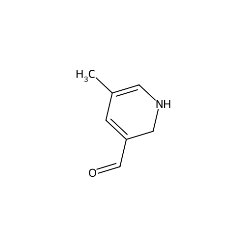 CC1=CNCC(C=O)=C1